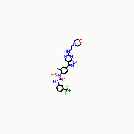 Cc1cc(-c2nn(C)c3nc(NCCN4CCOCC4)ncc23)ccc1N(S)C(=O)Nc1cccc(C(F)(F)F)c1